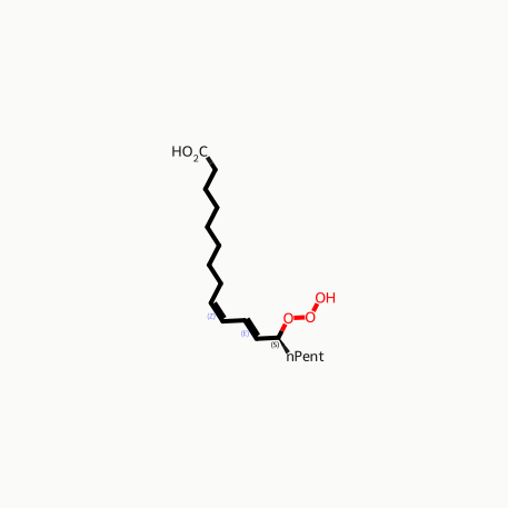 CCCCC[C@@H](/C=C/C=C\CCCCCCCC(=O)O)OOO